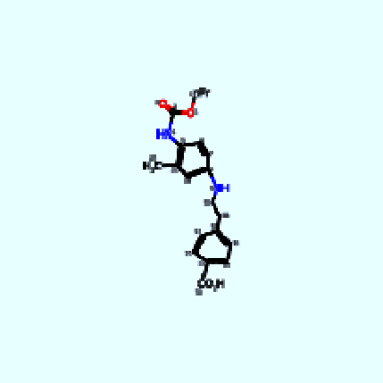 CCCOC(=O)Nc1ccc(NCCc2ccc(C(=O)O)cc2)cc1C